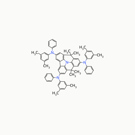 Cc1cc(C)cc(N(c2ccccc2)c2cc3c4c(c2)C(C)(C)c2cc(N(c5ccccc5)c5cc(C)cc(C)c5)cc5c6cc(N(c7ccccc7)c7cc(C)cc(C)c7)cc(c6n-4c25)C3(C)C)c1